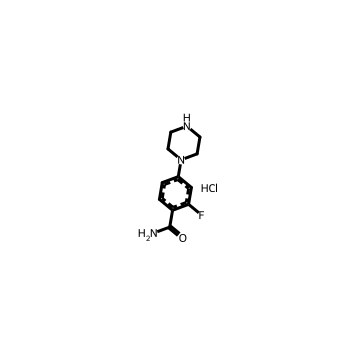 Cl.NC(=O)c1ccc(N2CCNCC2)cc1F